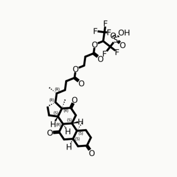 C[C@H](CCC(=O)OCCC(=O)OC(C(F)(F)F)C(F)(F)S(=O)(=O)O)[C@H]1CC[C@H]2[C@@H]3C(=O)C[C@@H]4CC(=O)CC[C@]4(C)[C@H]3CC(=O)[C@]12C